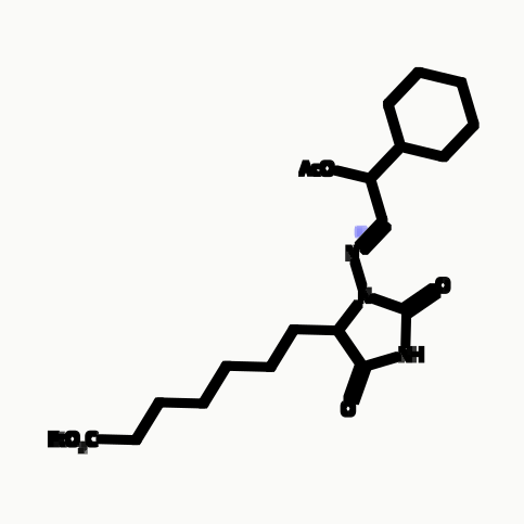 CCOC(=O)CCCCCCC1C(=O)NC(=O)N1/N=C/C(OC(C)=O)C1CCCCC1